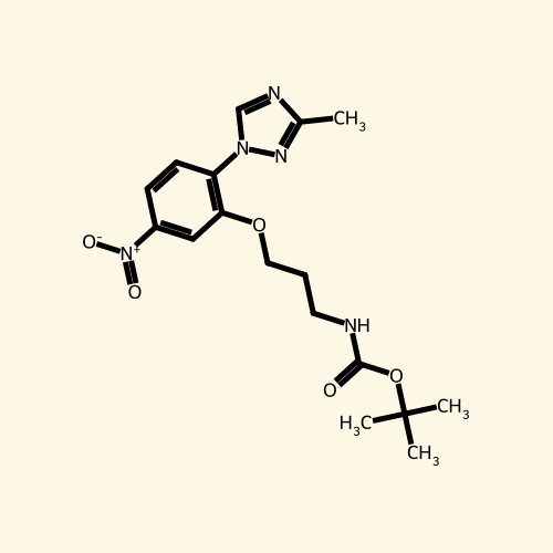 Cc1ncn(-c2ccc([N+](=O)[O-])cc2OCCCNC(=O)OC(C)(C)C)n1